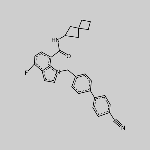 N#Cc1ccc(-c2ccc(Cn3ccc4c(F)ccc(C(=O)NC5CC6(CCC6)C5)c43)cc2)cc1